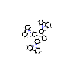 c1ccc([Si](c2ccc(-n3c4ccccc4c4ccccc43)cc2)(c2ccc(-n3c4ccccc4c4ccccc43)cc2)c2ccc(-n3c4ccccc4c4ccccc43)cc2)cc1